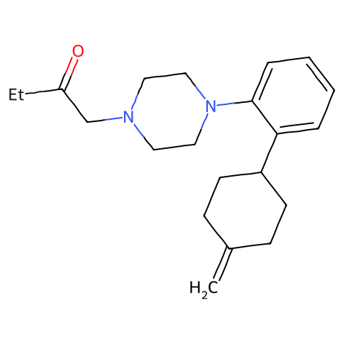 C=C1CCC(c2ccccc2N2CCN(CC(=O)CC)CC2)CC1